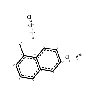 Cc1cccc2ccccc12.[Cl-].[Cl-].[Cl-].[Cl-].[V+4]